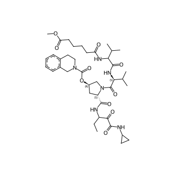 CCC(NC(=O)[C@@H]1C[C@@H](OC(=O)N2CCc3ccccc3C2)CN1C(=O)[C@@H](NC(=O)C(NC(=O)CCCCC(=O)OC)C(C)C)C(C)C)C(=O)C(=O)NC1CC1